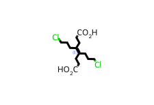 O=C(O)CC/C(CCCCl)=C(\CCCCl)CCC(=O)O